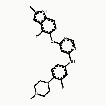 Cc1cc2c(F)c(Oc3cc(Nc4ccc(N5CCN(C)CC5)c(F)c4)ncn3)ccc2[nH]1